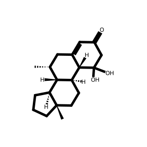 C[C@@H]1CC2=CC(=O)CC(O)(O)[C@@H]2[C@H]2CC[C@]3(C)CCC[C@H]3[C@@H]21